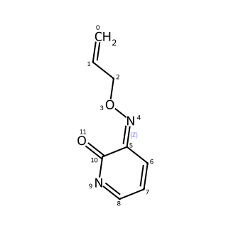 C=CCO/N=C1/C=CC=NC1=O